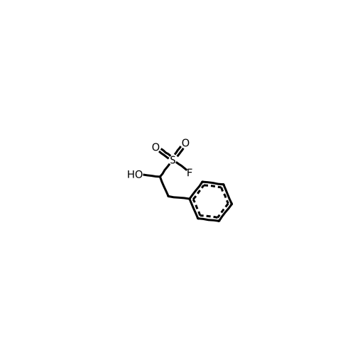 O=S(=O)(F)C(O)Cc1ccccc1